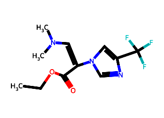 CCOC(=O)C(=CN(C)C)n1cnc(C(F)(F)F)c1